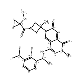 COC1(C(=O)N2CC(C)(n3cc4c(NC(C)c5cccc(C(F)F)c5F)nn(C)c(=O)c4cc3=O)C2)CC1